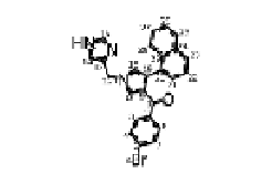 O=C(c1ccc(Br)cc1)c1cn(Cc2c[nH]cn2)cc1-c1cccc2ccccc12